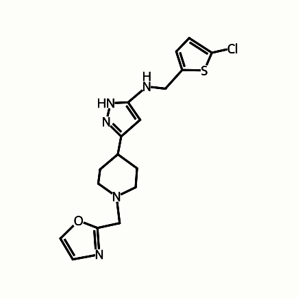 Clc1ccc(CNc2cc(C3CCN(Cc4ncco4)CC3)n[nH]2)s1